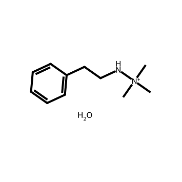 C[N+](C)(C)NCCc1ccccc1.O